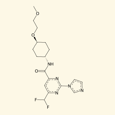 COCCO[C@H]1CC[C@H](NC(=O)c2cc(C(F)F)nc(-n3ccnc3)n2)CC1